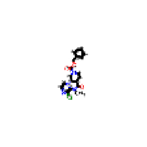 CN(C(=O)C1CCN(C(=O)OCc2ccccc2)CC1)c1nccnc1Cl